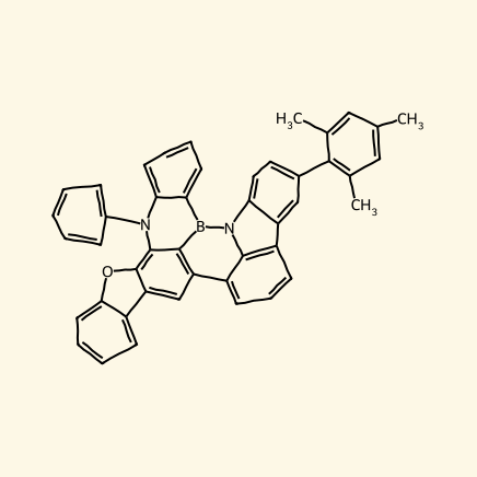 Cc1cc(C)c(-c2ccc3c(c2)c2cccc4c2n3B2c3ccccc3N(c3ccccc3)c3c2c-4cc2c3oc3ccccc32)c(C)c1